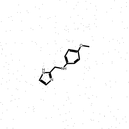 COc1ccc(NCc2ncc[nH]2)cc1